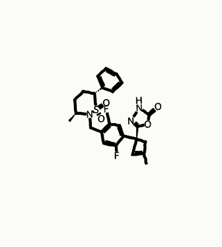 CC1=C[C@](c2n[nH]c(=O)o2)(c2cc(F)c(CN3[C@@H](C)CC[C@H](c4ccccc4)S3(=O)=O)cc2F)C1